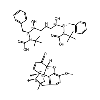 CC(C)(C)N(C(=O)O)[C@@H](Cc1ccccc1)[C@@H](O)CNC[C@H](O)[C@H](Cc1ccccc1)N(C(=O)O)C(C)(C)C.COc1ccc2c3c1O[C@H]1C(=O)C=C[C@H]4[C@@H](C2)N(C)CC[C@]314